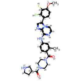 COc1ccc(-c2cnc3c(Nc4ccc(C(=O)N5CCN(C(=O)[C@H]6CCNC6)CC5)c(C)c4)nccn23)c(F)c1F